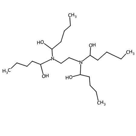 CCCCC(O)N(CCN(C(O)CCCC)C(O)CCCC)C(O)CCCC